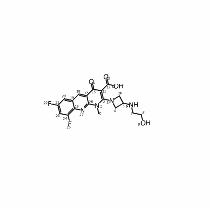 Cn1c(N2CC(NCCO)C2)c(C(=O)O)c(=O)c2cc3cc(F)cc(F)c3nc21